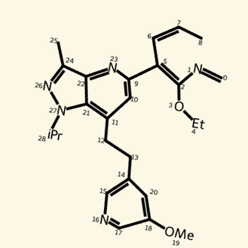 C=N/C(OCC)=C(\C=C/C)c1cc(CCc2cncc(OC)c2)c2c(n1)c(C)nn2C(C)C